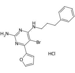 Cl.Nc1nc(NCCCc2ccccc2)c(Br)c(-c2ccco2)n1